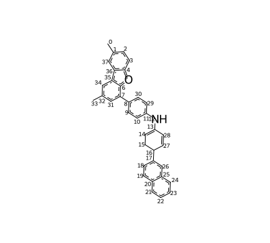 Cc1ccc2oc3c(-c4ccc(NC5=CCC(c6ccc7ccccc7c6)C=C5)cc4)cc(C)cc3c2c1